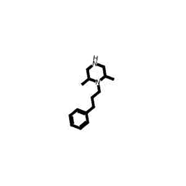 CC1CNCC(C)N1CCCc1ccccc1